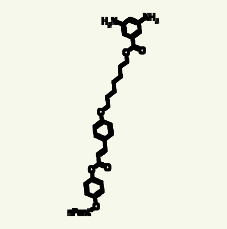 CCCCCOc1ccc(OC(=O)C=Cc2ccc(OCCCCCCCOC(=O)c3cc(N)cc(N)c3)cc2)cc1